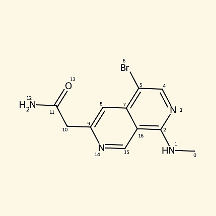 CNc1ncc(Br)c2cc(CC(N)=O)ncc12